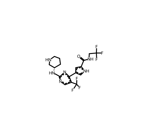 O=C(NCC(F)(F)F)c1cc(-c2nc(N[C@H]3CCCNC3)ncc2C(F)(F)F)c[nH]1